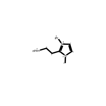 CCCCCCCCc1n(C)cc[n+]1C(C)C